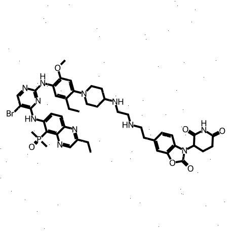 CCc1cnc2c(P(C)(C)=O)c(Nc3nc(Nc4cc(CC)c(N5CCC(NCCNCCc6ccc7c(c6)oc(=O)n7C6CCC(=O)NC6=O)CC5)cc4OC)ncc3Br)ccc2n1